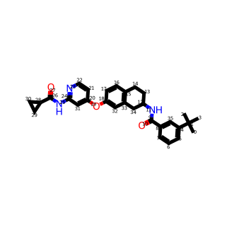 CC(C)(C)c1cccc(C(=O)NC2CCc3ccc(Oc4ccnc(NC(=O)C5CC5)c4)cc3C2)c1